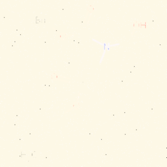 C=CCOC(=O)C1CCC(O)N1C(=O)OC(C)(C)C